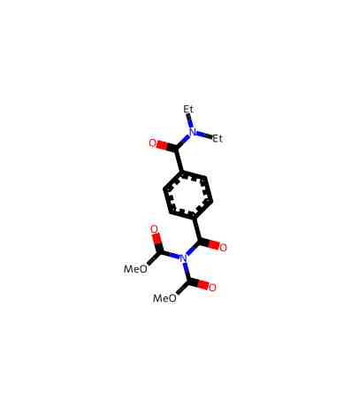 CCN(CC)C(=O)c1ccc(C(=O)N(C(=O)OC)C(=O)OC)cc1